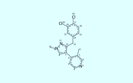 Cc1cnccc1-c1cn(C)nc1Cc1ccc(Cl)c(Cl)c1